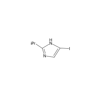 CC(C)c1ncc(I)[nH]1